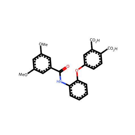 COc1cc(OC)cc(C(=O)Nc2ccccc2Oc2ccc(C(=O)O)c(C(=O)O)c2)c1